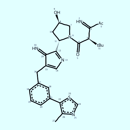 CC(=O)C(=N)[C@H](C(=O)N1C[C@H](O)C[C@H]1C1=NC=C(Cc2cccc(-c3scnc3C)c2)C1=N)C(C)(C)C